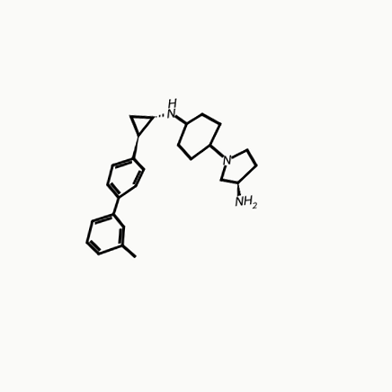 Cc1cccc(-c2ccc([C@H]3C[C@@H]3NC3CCC(N4CC[C@@H](N)C4)CC3)cc2)c1